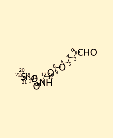 CC(C=O)CCCCOCCOCCNC(=O)OCC[Si](C)(C)C